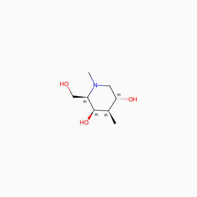 C[C@H]1[C@@H](O)[C@@H](CO)N(C)C[C@@H]1O